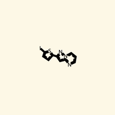 Ic1ccc(-c2cc3ncccn3n2)s1